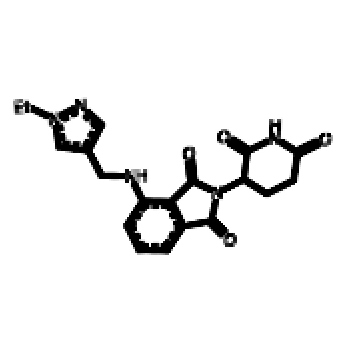 CCn1cc(CNc2cccc3c2C(=O)N(C2CCC(=O)NC2=O)C3=O)cn1